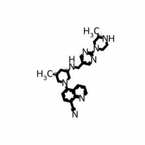 C[C@H]1C[C@@H](NCc2cnc(N3CCN[C@H](C)C3)nc2)CN(c2ccc(C#N)c3ncccc23)C1